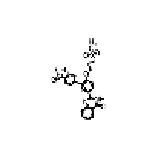 C[S+]([O-])c1ccc(-c2nc(-c3nc4ccccc4c(=O)[nH]3)ccc2OCCOS(C)(=O)=O)cc1